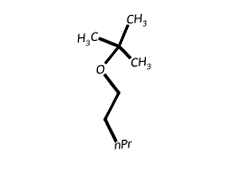 CCCCCOC(C)(C)C